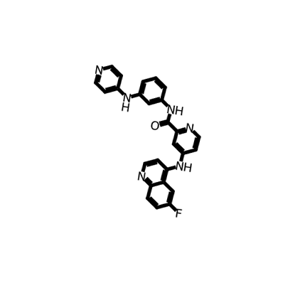 O=C(Nc1cccc(Nc2ccncc2)c1)c1cc(Nc2ccnc3ccc(F)cc23)ccn1